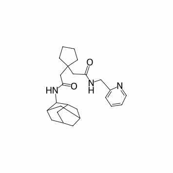 O=C(CC1(CC(=O)NC2C3CC4CC(C3)CC2C4)CCCC1)NCc1ccccn1